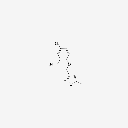 Cc1cc(COc2ccc(Cl)cc2CN)c(C)o1